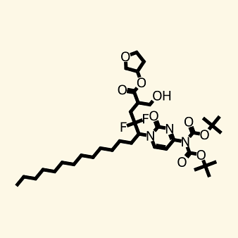 CCCCCCCCCCCCCC(n1ccc(N(C(=O)OC(C)(C)C)C(=O)OC(C)(C)C)nc1=O)C(F)(F)CC(CO)C(=O)OC1CCOC1